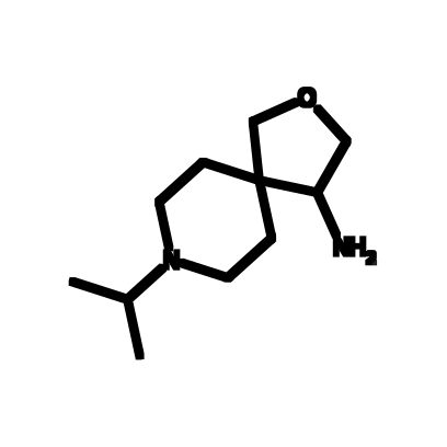 CC(C)N1CCC2(CC1)COCC2N